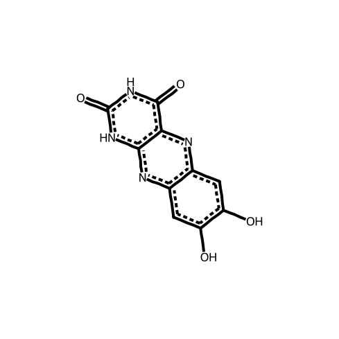 O=c1[nH]c(=O)c2nc3cc(O)c(O)cc3nc2[nH]1